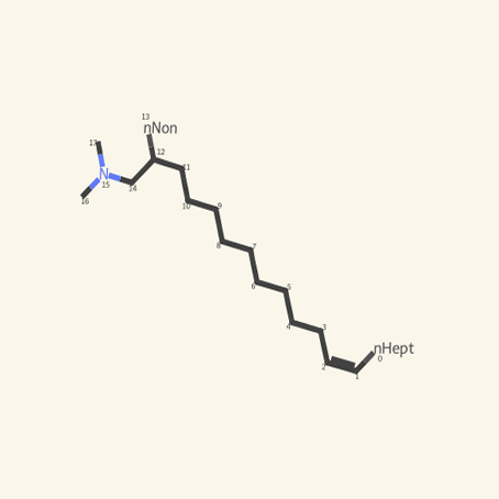 CCCCCCC/C=C\CCCCCCCCCC(CCCCCCCCC)CN(C)C